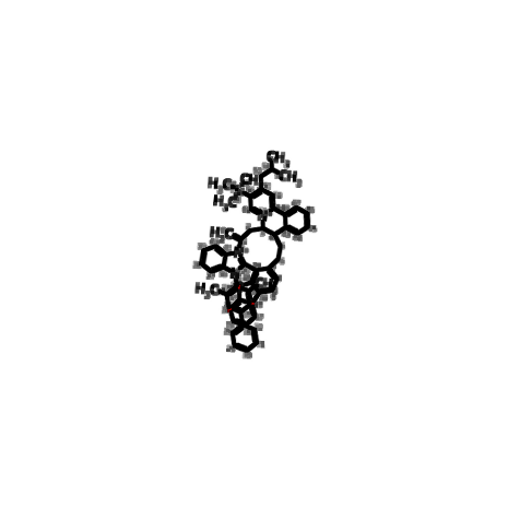 C=C1CC2C(CCc3ccc4c(oc5ccccc54)c3-c3n(-c4c(C)cc(-c5ccccc5)cc4C)c4ccccc4[n+]31)c1ccccc1-c1cc(CC(C)C)c([Si](C)(C)C)c[n+]12